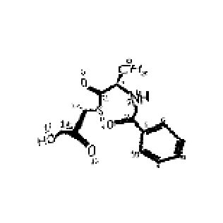 C[C@@H](NC(=O)c1ccccc1)C(=O)SCC(=O)O